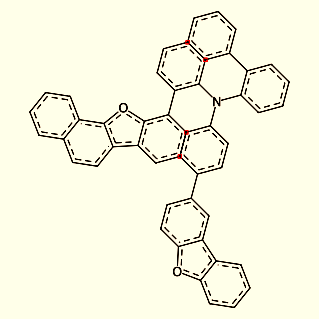 c1ccc(-c2ccccc2N(c2ccc(-c3ccc4oc5ccccc5c4c3)cc2)c2ccccc2-c2cccc3c2oc2c4ccccc4ccc32)cc1